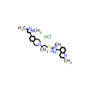 Cc1ccc2c(-c3nnc(SCCC(C)N4CCc5ccc(-c6cc(C)nn6C)cc5CC4)n3C)cccc2n1.Cl